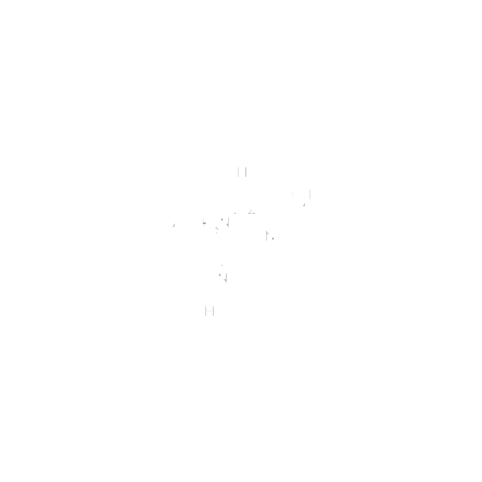 CC1CCCCCC(/C=N\C(=C/N)C(C)C)N1